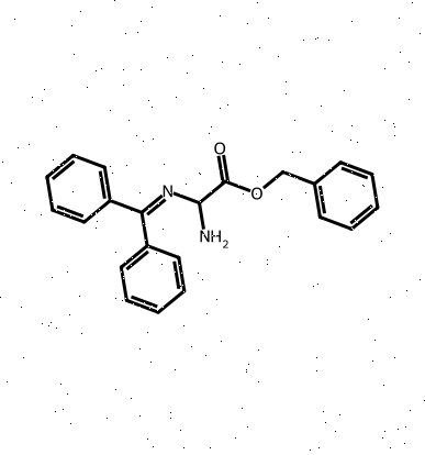 NC(N=C(c1ccccc1)c1ccccc1)C(=O)OCc1ccccc1